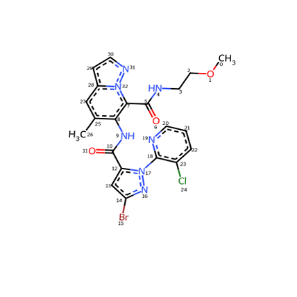 COCCNC(=O)c1c(NC(=O)c2cc(Br)nn2-c2ncccc2Cl)c(C)cc2ccnn12